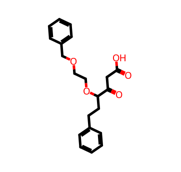 O=C(O)CC(=O)C(CCc1ccccc1)OCCOCc1ccccc1